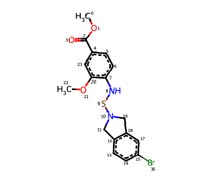 COC(=O)c1ccc(NSN2Cc3ccc(Br)cc3C2)c(OC)c1